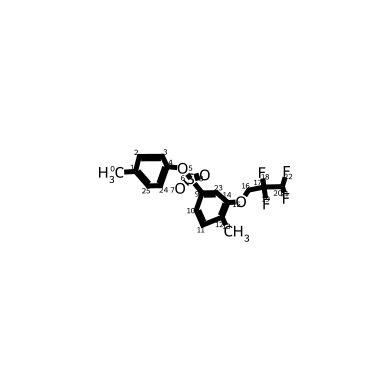 Cc1ccc(OS(=O)(=O)c2ccc(C)c(OCC(F)(F)C(F)F)c2)cc1